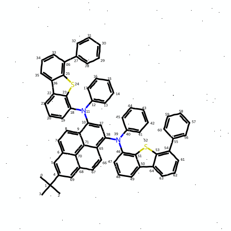 CC(C)(C)c1cc2ccc3c(N(c4ccccc4)c4cccc5c4sc4c(-c6ccccc6)cccc45)cc(N(c4ccccc4)c4cccc5c4sc4c(-c6ccccc6)cccc45)c4ccc(c1)c2c34